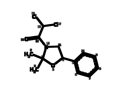 CC1(C)OC(c2ccccc2)CN1C(=O)C(Cl)Cl